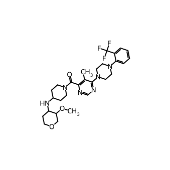 COC1COCCC1NC1CCN(C(=O)c2ncnc(N3CCN(c4ccccc4C(F)(F)F)CC3)c2C)CC1